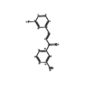 O=C(C=Cc1cccc(F)c1)c1cccc(O)c1